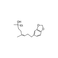 CCC(C)(O)CCC(C)=CCCc1ccc2c(c1)OCO2